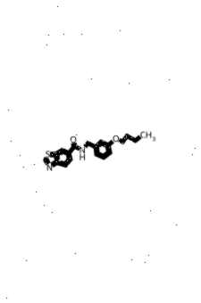 CCCCOc1cccc(CNC(=O)c2ccc3ncsc3c2)c1